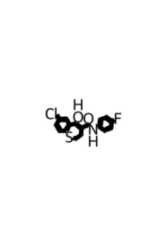 O=C(Nc1ccc(F)cc1)C1=C(O)c2cc(Cl)ccc2SCC1